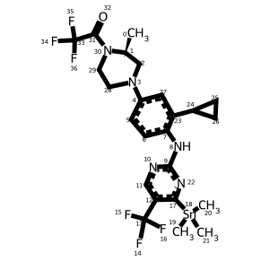 C[C@H]1CN(c2ccc(Nc3ncc(C(F)(F)F)[c]([Sn]([CH3])([CH3])[CH3])n3)c(C3CC3)c2)CCN1C(=O)C(F)(F)F